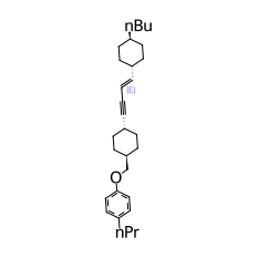 CCCC[C@H]1CC[C@H](/C=C/C#C[C@H]2CC[C@H](COc3ccc(CCC)cc3)CC2)CC1